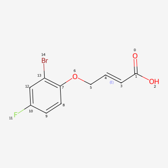 O=C(O)/C=C/COc1ccc(F)cc1Br